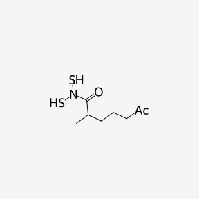 CC(=O)CCCC(C)C(=O)N(S)S